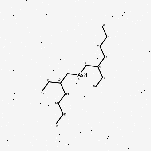 CCCCC(CC)C[AsH]CC(CC)CCCC